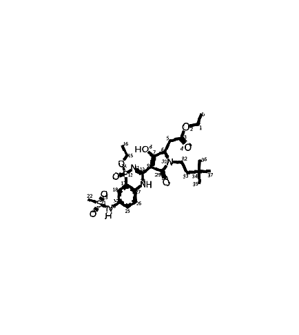 CCOC(=O)CC1C(O)=C(C2=NP(=O)(OCC)c3cc(NS(C)(=O)=O)ccc3N2)C(=O)N1CCC(C)(C)C